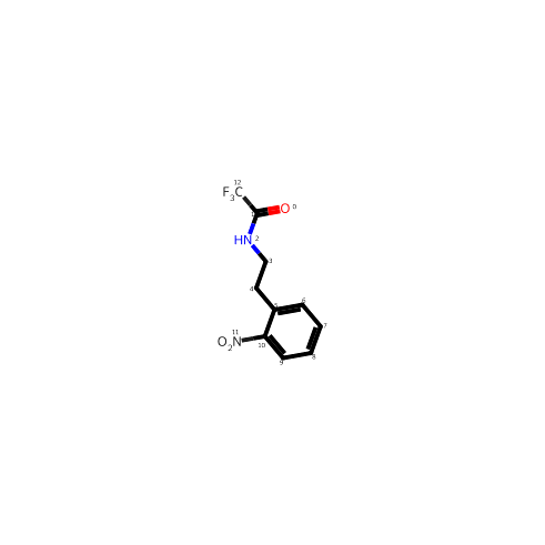 O=C(NCCc1ccccc1[N+](=O)[O-])C(F)(F)F